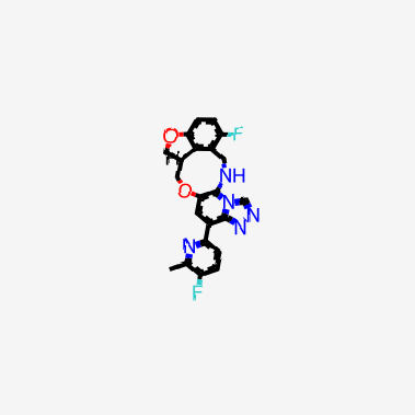 Cc1nc(-c2cc3c(n4cnnc24)NCc2c(F)ccc4c2[C@@H](CO4)CO3)ccc1F